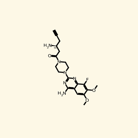 C#CC[C@H](N)CC(=O)N1CCN(c2nc(N)c3cc(OC)c(OC)c(F)c3n2)CC1